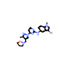 CC(=O)c1cn(C)c2ccc(Nc3nccc(-n4cc(CN5CCCO5)c(C)n4)n3)cc12